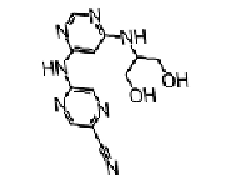 N#Cc1cnc(Nc2cc(NC(CO)CO)ncn2)cn1